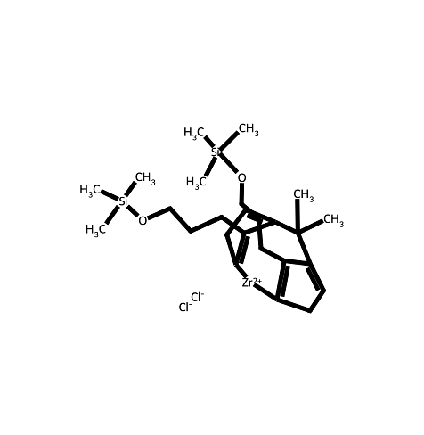 CC1(C)C2=CC[C](=C2CCCO[Si](C)(C)C)[Zr+2][C]2=C(CCCO[Si](C)(C)C)C1=CC2.[Cl-].[Cl-]